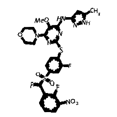 COc1c(Nc2cc(C)[nH]n2)nc(Sc2ccc(S(=O)(=O)C(F)c3cccc([N+](=O)[O-])c3F)cc2F)nc1N1CCOCC1